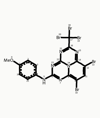 COc1ccc(NC2=NC3=C(Br)C=C(Br)C4=NC(C(Br)(Br)Br)=NC(=N2)N43)cc1